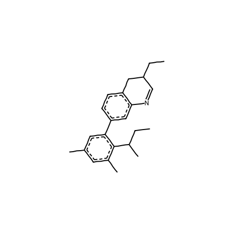 CCC1C=Nc2cc(-c3cc(C)cc(C)c3C(C)CC)ccc2C1